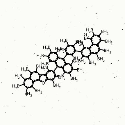 Bc1c(B)c(-c2c(B)c(B)c3c(B)c(B)c4c(B)c(B)c(B)c(B)c4c3c2B)c(B)c(-c2c3c(B)c(B)c(B)c(B)c3c(-c3c(B)c(B)c4oc5c6c(B)c(B)c(B)c(B)c6c(B)c(B)c5c4c3B)c3c(B)c(B)c(B)c(B)c23)c1B